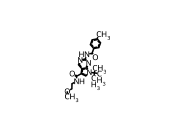 COCCNC(=O)c1cn(C(C)(C)C)c2nc(NC(=O)c3ccc(C)cc3)ncc12